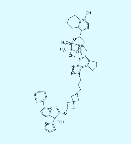 CC(C)(C)[Si](C)(C)OC(CNCc1cc2nnn(CCCN3CC4(CC(OC(=O)[C@@](O)(c5cccs5)c5ccc(-c6ccccc6)s5)C4)C3)c2c2c1CCC2)c1ccc(O)c2c1CCCC2